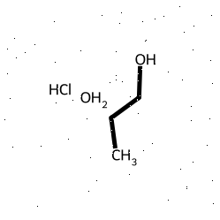 CCCO.Cl.O